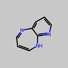 C1=CNc2ncccc2N=C1